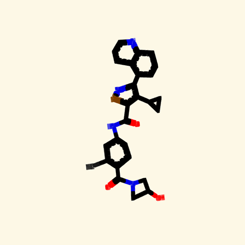 N#Cc1cc(NC(=O)c2snc(-c3cccc4ncccc34)c2C2CC2)ccc1C(=O)N1CC(O)C1